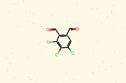 O=[C]c1cc(Cl)c(Cl)c(Cl)c1[C]=O